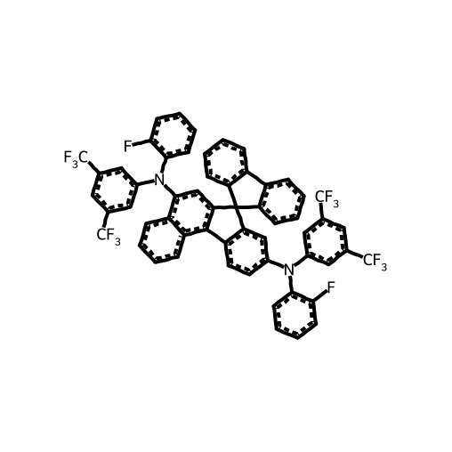 Fc1ccccc1N(c1cc(C(F)(F)F)cc(C(F)(F)F)c1)c1ccc2c(c1)C1(c3ccccc3-c3ccccc31)c1cc(N(c3cc(C(F)(F)F)cc(C(F)(F)F)c3)c3ccccc3F)c3ccccc3c1-2